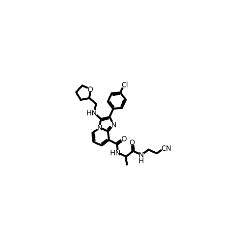 CC(NC(=O)c1cccn2c(NCC3CCCO3)c(-c3ccc(Cl)cc3)nc12)C(=O)NCCC#N